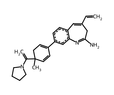 C=CC1=Cc2ccc(C3=CCC(C)(C(=C)N4CCCC4)C=C3)cc2N=C(N)C1